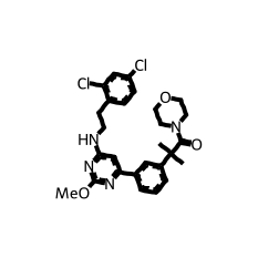 COc1nc(NCCc2ccc(Cl)cc2Cl)cc(-c2cccc(C(C)(C)C(=O)N3CCOCC3)c2)n1